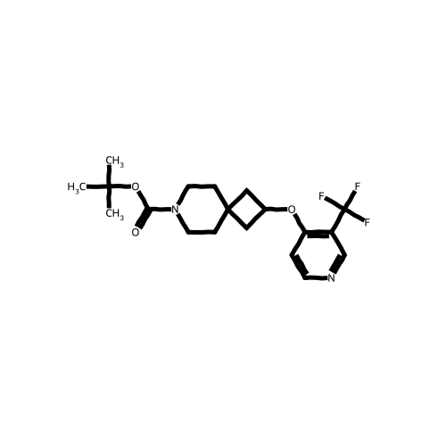 CC(C)(C)OC(=O)N1CCC2(CC1)CC(Oc1ccncc1C(F)(F)F)C2